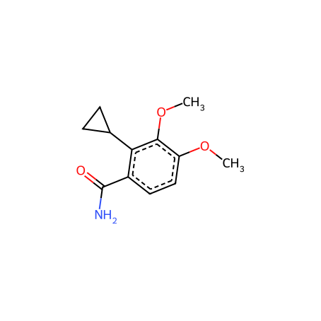 COc1ccc(C(N)=O)c(C2CC2)c1OC